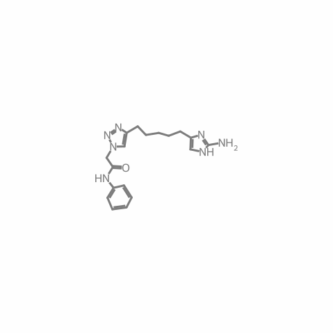 Nc1nc(CCCCCc2cn(CC(=O)Nc3ccccc3)nn2)c[nH]1